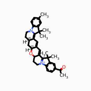 CC(=O)c1ccc2c(c1)C(C)(C)C1=[N+]2CCC2O[C@H]3C[C@H]4CCN5C(=C4C=C3C=C12)C(C)(C)c1cc(C)ccc15